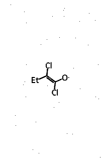 CCC(Cl)=C([O])Cl